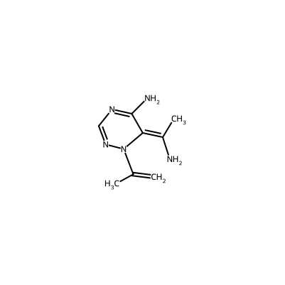 C=C(C)N1N=CN=C(N)/C1=C(\C)N